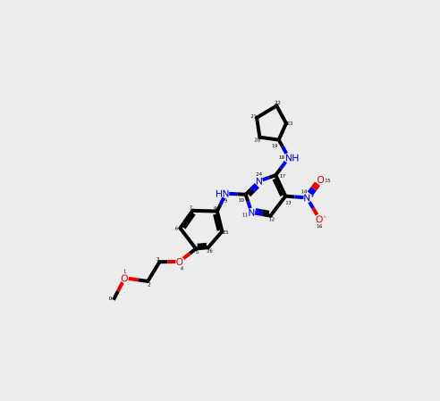 COCCOc1ccc(Nc2ncc([N+](=O)[O-])c(NC3CCCC3)n2)cc1